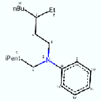 CCCCC(CC)CCN(CC(C)CCC)c1ccccc1